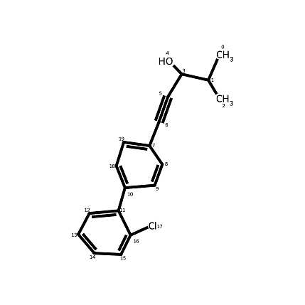 CC(C)C(O)C#Cc1ccc(-c2ccccc2Cl)cc1